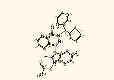 Cc1c(-c2nn(C(C3=CC=CCC3)C3=COC=CO3)c(=O)c3ccccc23)c2cc(Cl)ccc2n1CC(=O)O